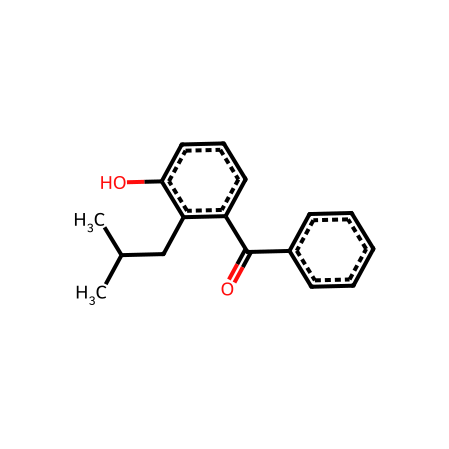 CC(C)Cc1c(O)cccc1C(=O)c1ccccc1